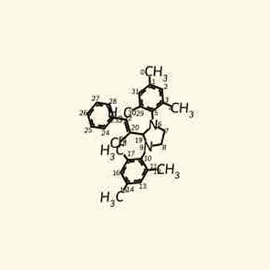 Cc1cc(C)c(N2CCN(c3c(C)cc(C)cc3C)C2/C(Cl)=C/c2ccccc2)c(C)c1